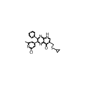 Cc1cc(-c2nc3c(=O)c(CSC4CC4)c[nH]c3nc2-c2ccccc2)cc(Cl)n1